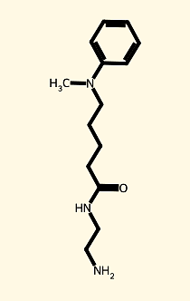 CN(CCCCC(=O)NCCN)c1ccccc1